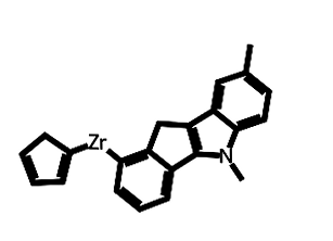 Cc1ccc2c(c1)c1c(n2C)-c2ccc[c]([Zr][C]3=CC=CC3)c2C1